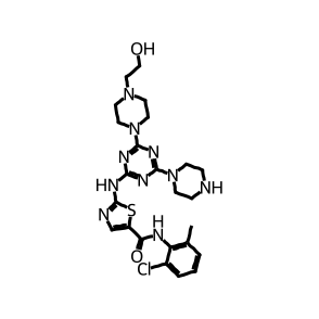 Cc1cccc(Cl)c1NC(=O)c1cnc(Nc2nc(N3CCNCC3)nc(N3CCN(CCO)CC3)n2)s1